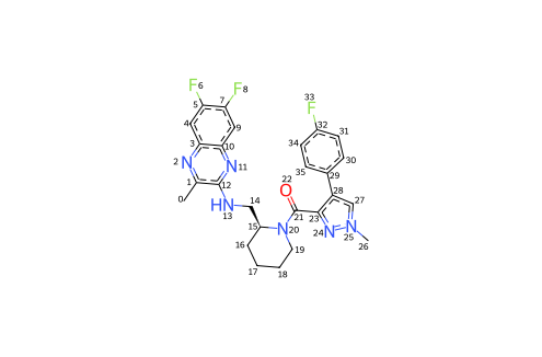 Cc1nc2cc(F)c(F)cc2nc1NC[C@@H]1CCCCN1C(=O)c1nn(C)cc1-c1ccc(F)cc1